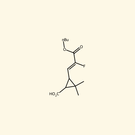 CCCCOC(=O)C(F)=CC1C(C(=O)O)C1(C)C